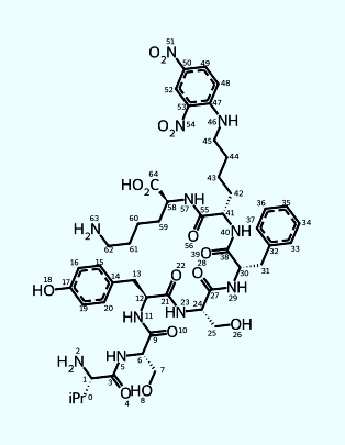 CC(C)[C@H](N)C(=O)N[C@@H](CO)C(=O)N[C@@H](Cc1ccc(O)cc1)C(=O)N[C@@H](CO)C(=O)N[C@@H](Cc1ccccc1)C(=O)N[C@@H](CCCCNc1ccc([N+](=O)[O-])cc1[N+](=O)[O-])C(=O)N[C@@H](CCCCN)C(=O)O